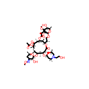 CO/N=C1\C[C@@H](C)O[C@@H](O[C@@H]2[C@@H](C)[C@H](O[C@H]3C[C@@H](C)N(CCO)C[C@H](C)O3)[C@@H](C)C(=O)O[C@H]([C@@H](C)CO[C@@H]3O[C@H](C)[C@@H](O)[C@@H](OC)[C@H]3OC)[C@H](C)[C@@H](OC(=O)CC(C)C)[C@@H](C)C(=O)[C@@](C)(OC(C)=O)C[C@@H]2C)[C@@H]1O